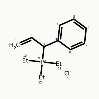 C=CC(c1ccccc1)[P+](CC)(CC)CC.[Cl-]